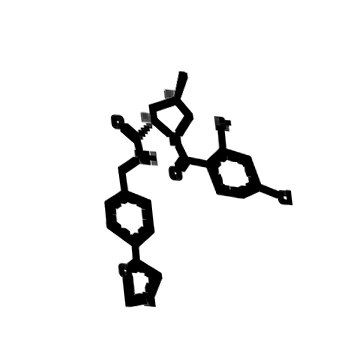 C[C@@H]1C[C@@H](C(=O)NCc2ccc(-c3cnco3)cc2)N(C(=O)c2ccc(Cl)cc2Br)C1